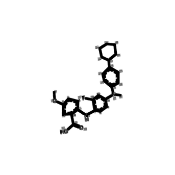 COc1ccc(Nc2ccc(N(C)c3ccc(C4CCCCC4)cc3)cc2F)c(C(=O)O)c1